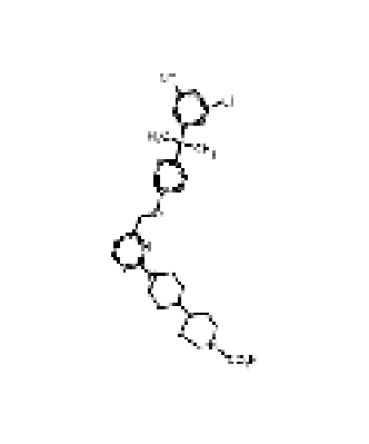 CC(C)(c1ccc(OCc2ccnc(N3CCC(C4CCN(C(=O)O)CC4)CC3)n2)cc1)c1cc(Cl)cc(C#N)c1